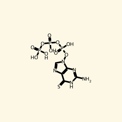 Nc1nc2c(ncn2OP(=O)(O)OP(=O)(O)OP(=O)(O)O)c(=S)[nH]1